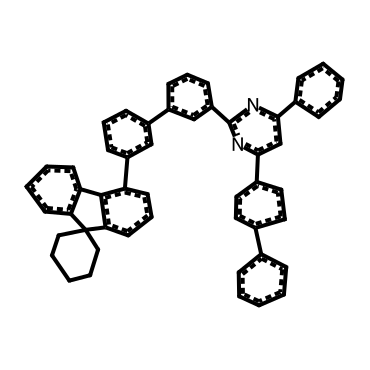 c1ccc(-c2ccc(-c3cc(-c4ccccc4)nc(-c4cccc(-c5cccc(-c6cccc7c6-c6ccccc6C76CCCCC6)c5)c4)n3)cc2)cc1